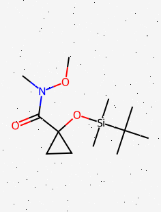 CON(C)C(=O)C1(O[Si](C)(C)C(C)(C)C)CC1